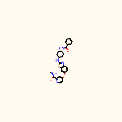 CNC(=O)c1cc(Oc2ccc3nc(N[C@H]4CC[C@@H](NC(=O)c5ccccc5)CC4)sc3c2)ccn1